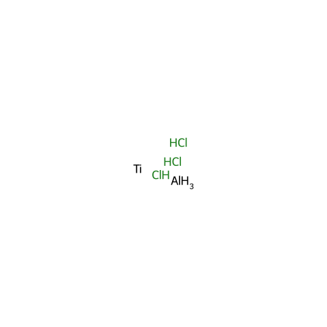 Cl.Cl.Cl.[AlH3].[Ti]